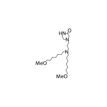 COCCCCCCCN(CCCCCCCOC)CCCN1CCNC(=O)C1